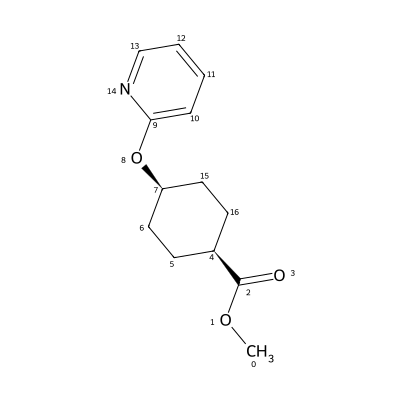 COC(=O)[C@H]1CC[C@@H](Oc2ccccn2)CC1